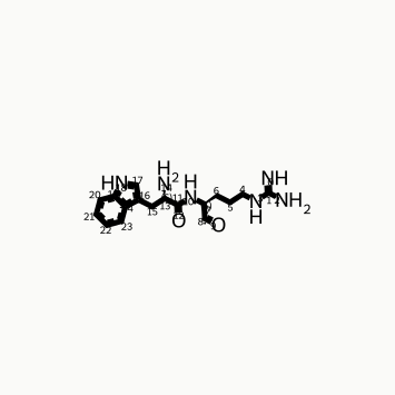 N=C(N)NCCC[C@@H]([C]=O)NC(=O)[C@@H](N)Cc1c[nH]c2ccccc12